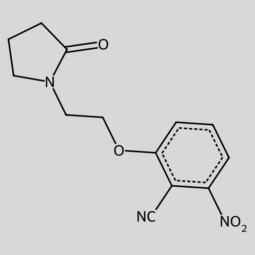 N#Cc1c(OCCN2CCCC2=O)cccc1[N+](=O)[O-]